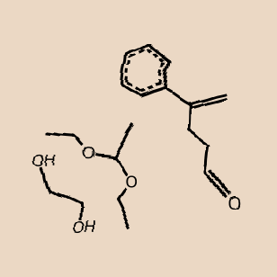 C=C(CCC=O)c1ccccc1.CCOC(C)OCC.OCCO